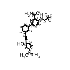 CN(C)CC[C@@](O)(C#Cc1cccc(-c2ncc(NCC(F)(F)F)c(C(N)=O)n2)c1)C=O